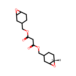 O=C(CC(=O)OCC1CC[C@@H]2OC2C1)OCC1CCC2OC2C1